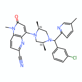 Cc1ccc(C(c2cccc(Cl)c2)N2C[C@H](C)N(c3cc(=O)n(C)c4ccc(C#N)nc34)C[C@@H]2C)nc1